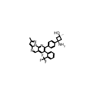 Cc1cc2ncc3cc(-c4ccccc4C(F)(F)F)c(-c4ccc([C@]5(N)C[C@@](C)(O)C5)cc4)nc3n2n1